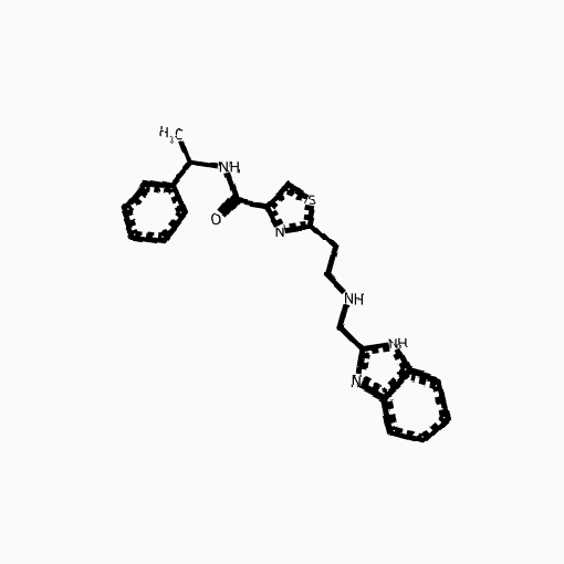 CC(NC(=O)c1csc(CCNCc2nc3ccccc3[nH]2)n1)c1ccccc1